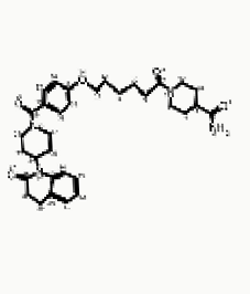 NC(=O)C1CCN(C(=O)CCCCCOc2ccc(C(=O)N3CCC(N4C(=O)CCc5ccccc54)CC3)cc2)CC1